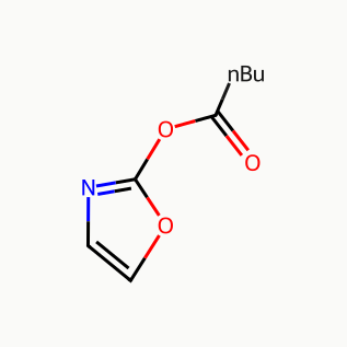 CCCCC(=O)Oc1ncco1